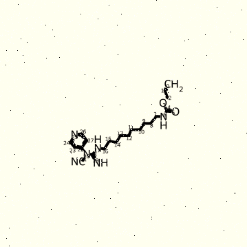 C=CCOC(=O)NCCCCCCCCCCNC(=N)N(C#N)c1ccncc1